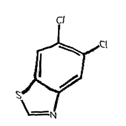 Clc1cc2ncsc2cc1Cl